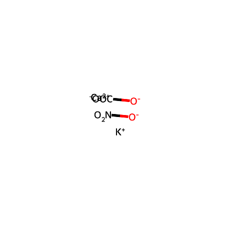 O=C([O-])[O-].O=[N+]([O-])[O-].[Ca+2].[K+]